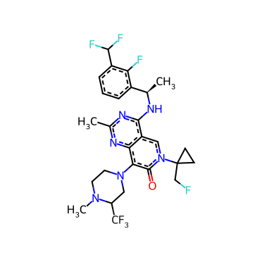 Cc1nc(N[C@H](C)c2cccc(C(F)F)c2F)c2cn(C3(CF)CC3)c(=O)c(N3CCN(C)C(C(F)(F)F)C3)c2n1